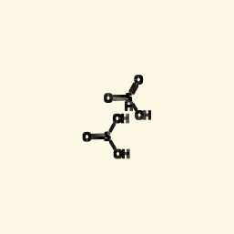 O=S(O)O.O=[SH](=O)O